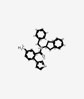 Cc1ccc(-c2ccsc2)c(C(=O)N(Cc2ccccc2)C2Cc3ccccc3C2)c1